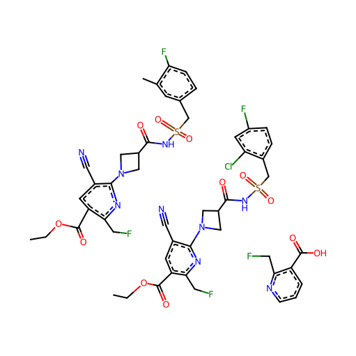 CCOC(=O)c1cc(C#N)c(N2CC(C(=O)NS(=O)(=O)Cc3ccc(F)c(C)c3)C2)nc1CF.CCOC(=O)c1cc(C#N)c(N2CC(C(=O)NS(=O)(=O)Cc3ccc(F)cc3Cl)C2)nc1CF.O=C(O)c1cccnc1CF